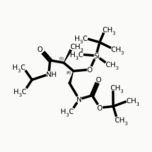 CC(C)NC(=O)[C@@H](C)[C@H](CN(C)C(=O)OC(C)(C)C)O[Si](C)(C)C(C)(C)C